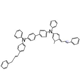 CC1C=C(N(c2ccccc2)c2ccc(-c3ccc(N(c4ccccc4)c4ccc(C=CCc5ccccc5)cc4)cc3)cc2)C=CC1=C/C=C/c1ccccc1